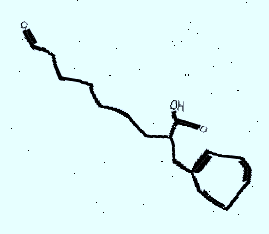 O=CCCCCCCC(Cc1ccccc1)C(=O)O